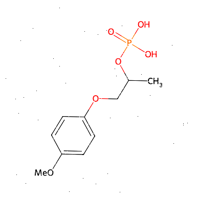 COc1ccc(OCC(C)OP(=O)(O)O)cc1